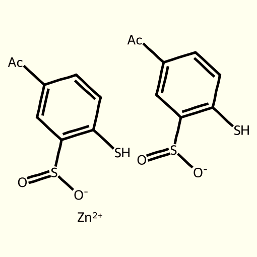 CC(=O)c1ccc(S)c(S(=O)[O-])c1.CC(=O)c1ccc(S)c(S(=O)[O-])c1.[Zn+2]